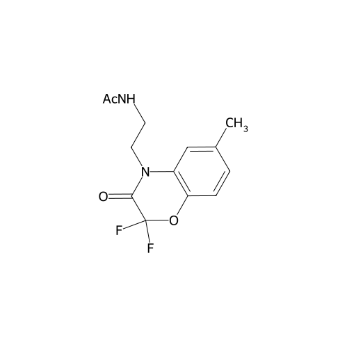 CC(=O)NCCN1C(=O)C(F)(F)Oc2ccc(C)cc21